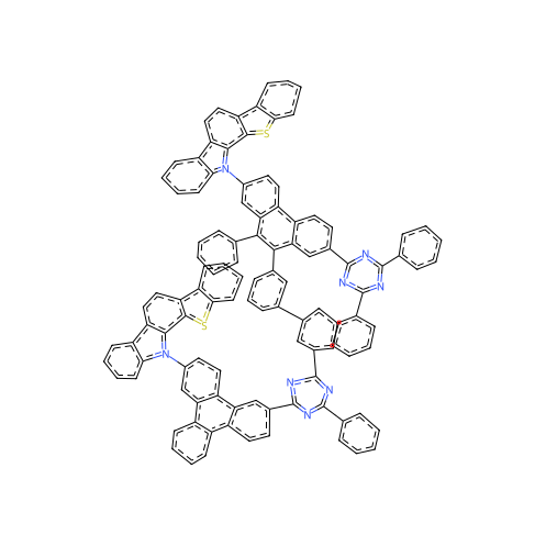 c1ccc(-c2nc(-c3ccccc3)nc(-c3ccc4c(c3)c(-c3cccc(-c5cccc(-c6nc(-c7ccccc7)nc(-c7ccc8c9ccccc9c9cc(-n%10c%11ccccc%11c%11ccc%12c%13ccccc%13sc%12c%11%10)ccc9c8c7)n6)c5)c3)c(-c3ccccc3)c3cc(-n5c6ccccc6c6ccc7c8ccccc8sc7c65)ccc34)n2)cc1